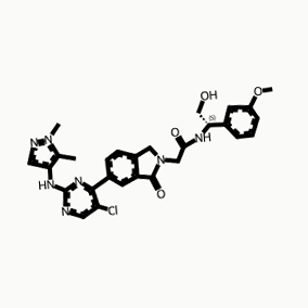 COc1cccc([C@@H](CO)NC(=O)CN2Cc3ccc(-c4nc(Nc5cnn(C)c5C)ncc4Cl)cc3C2=O)c1